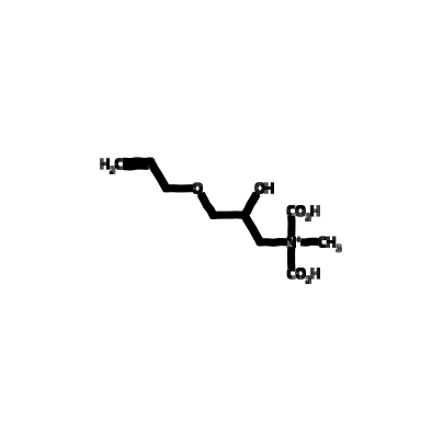 C=CCOCC(O)C[N+](C)(C(=O)O)C(=O)O